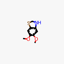 COc1cc2c(cc1OC)SCN2